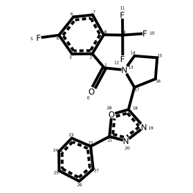 O=C(c1cc(F)ccc1C(F)(F)F)N1CCCC1c1nnc(-c2ccccc2)o1